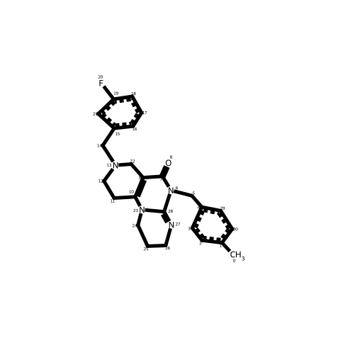 Cc1ccc(CN2C(=O)C3=C(CCN(Cc4cccc(F)c4)C3)N3CCCN=C23)cc1